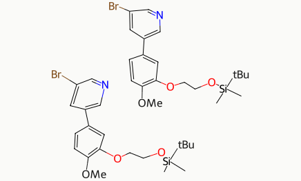 COc1ccc(-c2cncc(Br)c2)cc1OCCO[Si](C)(C)C(C)(C)C.COc1ccc(-c2cncc(Br)c2)cc1OCCO[Si](C)(C)C(C)(C)C